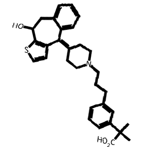 CC(C)(C(=O)O)c1cccc(CCCN2CCC(=C3c4ccccc4CC(O)c4sccc43)CC2)c1